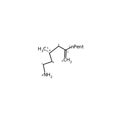 C=C(CCCCC)C[C@@H](C)CCN